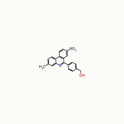 Cc1ccc2c(c1)nc(-c1ccc(CO)cc1)c1cc([N+](=O)[O-])ccc12